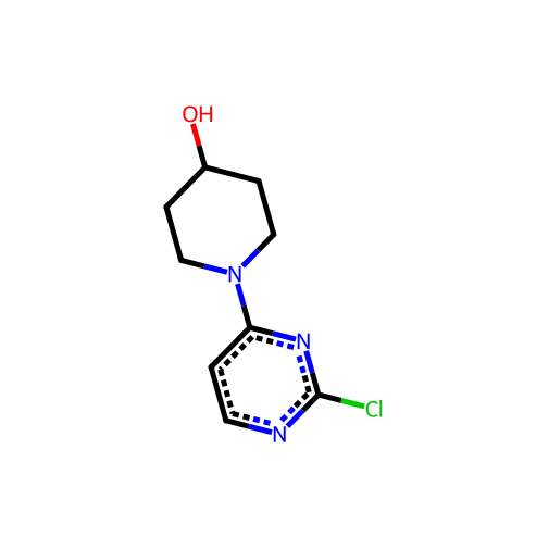 OC1CCN(c2ccnc(Cl)n2)CC1